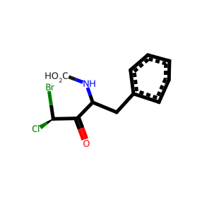 O=C(O)NC(Cc1ccccc1)C(=O)[C@@H](Cl)Br